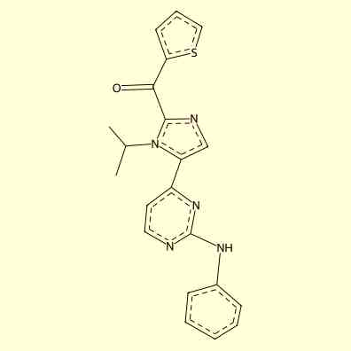 CC(C)n1c(-c2ccnc(Nc3ccccc3)n2)cnc1C(=O)c1cccs1